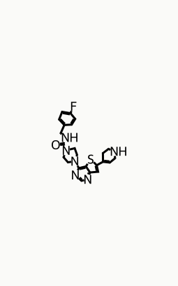 O=C(NCc1ccc(F)cc1)N1CCN(c2ncnc3cc(C4=CCNCC4)sc23)CC1